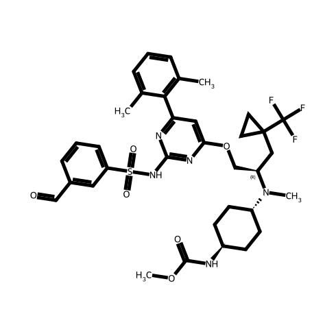 COC(=O)N[C@H]1CC[C@H](N(C)[C@@H](COc2cc(-c3c(C)cccc3C)nc(NS(=O)(=O)c3cccc(C=O)c3)n2)CC2(C(F)(F)F)CC2)CC1